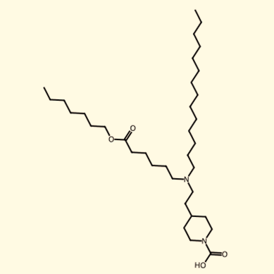 CCCCCCCCCCCCCCN(CCCCCC(=O)OCCCCCCC)CCC1CCN(C(=O)O)CC1